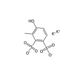 Cc1c(O)ccc(S(=O)(=O)[O-])c1S(=O)(=O)[O-].[K+].[K+]